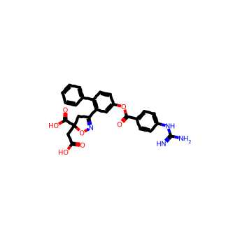 N=C(N)Nc1ccc(C(=O)Oc2ccc(-c3ccccc3)c(C3=NOC(CC(=O)O)(C(=O)O)C3)c2)cc1